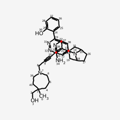 CC1(CO)CCCN(CC#Cc2cc(N3C4CCC3CN(c3cc(-c5ccccc5O)nnc3N)C4)ccn2)CC1